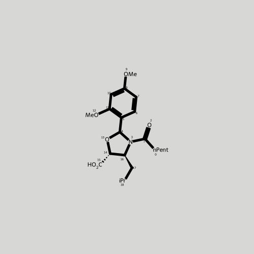 CCCCCC(=O)N1C(c2ccc(OC)cc2OC)O[C@@H](C(=O)O)[C@@H]1CC(C)C